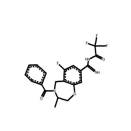 CC1COc2cc(C(=N)NC(=O)C(F)(F)F)cc(F)c2CN1C(=O)c1ccccc1